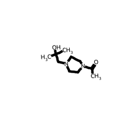 CC(=O)N1CCN(CC(C)(C)O)CC1